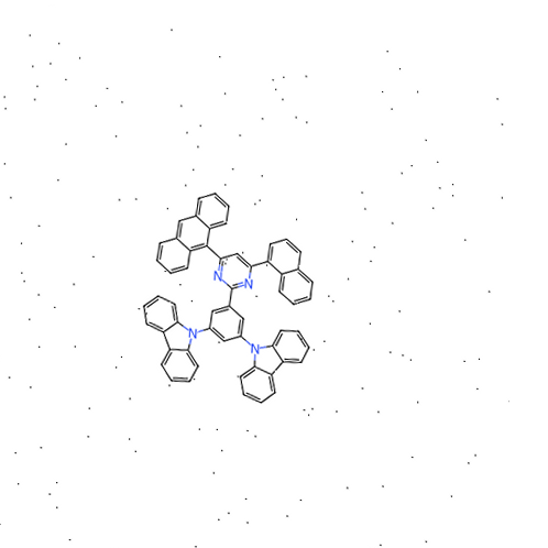 c1ccc2c(-c3cc(-c4c5ccccc5cc5ccccc45)nc(-c4cc(-n5c6ccccc6c6ccccc65)cc(-n5c6ccccc6c6ccccc65)c4)n3)cccc2c1